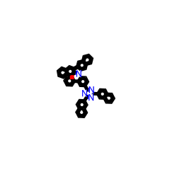 c1ccc(-c2cc(-c3nc(-c4ccc5ccccc5c4)nc(-c4ccc5ccccc5c4)n3)ccc2-n2c3cc4ccccc4cc3c3cc4ccccc4cc32)cc1